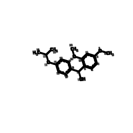 COc1ccc(C(O)c2ccc(OC(C)C)cn2)c(OC)c1